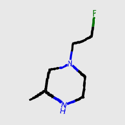 CC1CN(CCF)CCN1